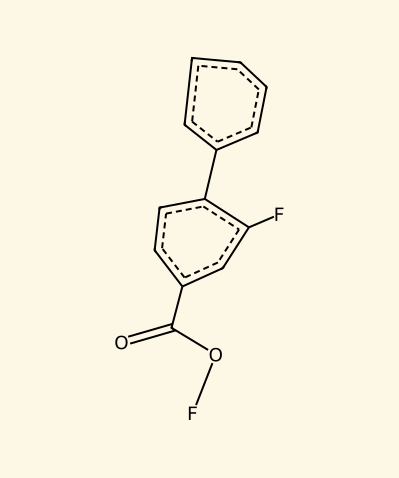 O=C(OF)c1ccc(-c2ccccc2)c(F)c1